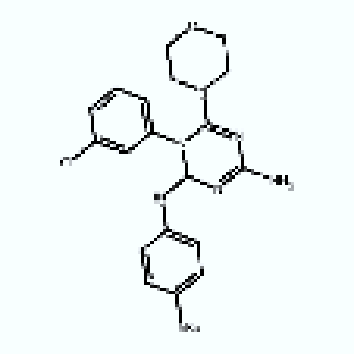 CCCCc1ccc(NC2N=C(N)N=C(N3CCOCC3)N2c2cccc(Cl)c2)cc1